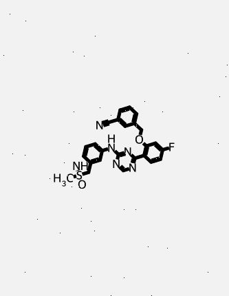 CS(=N)(=O)Cc1cccc(Nc2ncnc(-c3ccc(F)cc3OCc3cccc(C#N)c3)n2)c1